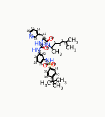 CC(C)CCCC(C)NC(=O)[C@@H](Cc1cccnc1)NC(=O)Nc1cccc(NS(=O)(=O)c2ccc(C(C)(C)C)cc2)c1